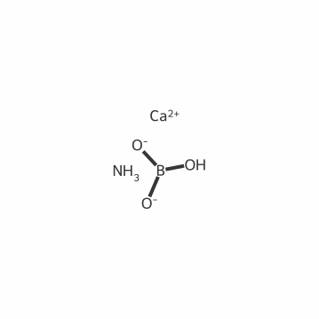 N.[Ca+2].[O-]B([O-])O